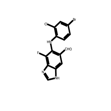 O=Cc1cc2[nH]cnc2c(F)c1Nc1ccc(Br)cc1Cl